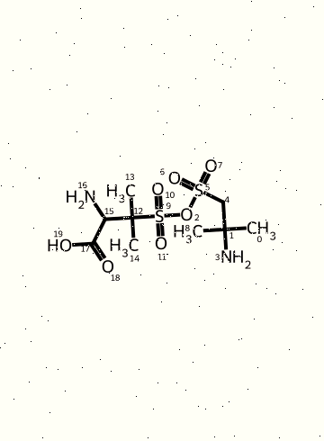 CC(C)(N)CS(=O)(=O)OS(=O)(=O)C(C)(C)C(N)C(=O)O